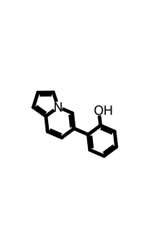 Oc1ccccc1-c1ccc2cccn2c1